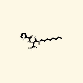 CCCCCCCCNC(=O)[C@@H](NC(=O)c1ccco1)[C@@H](C)O